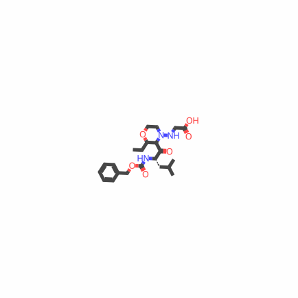 CCC1OCCN(NCC(=O)O)C1C(=O)[C@H](CC(C)C)NC(=O)OCc1ccccc1